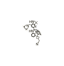 C[C@@H]1C[C@H](C)CN(Cc2cc(C(=O)Nc3cccc(C4(c5nncn5C)CC(CC#N)C4)c3)nc3c2NCC3(C)C)C1